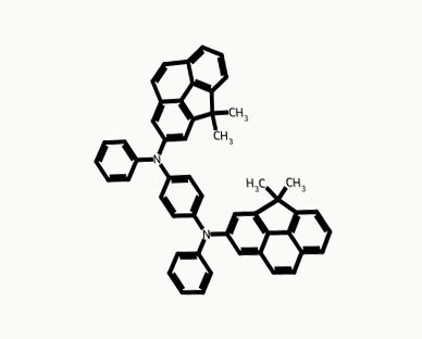 CC1(C)c2cccc3ccc4cc(N(c5ccccc5)c5ccc(N(c6ccccc6)c6cc7c8c(ccc9cccc(c98)C7(C)C)c6)cc5)cc1c4c23